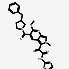 COc1nc2cn(C)c(C(=O)C(=O)Nc3nccs3)c2cc1C(=O)N1CCC(Cc2ccccc2)C1